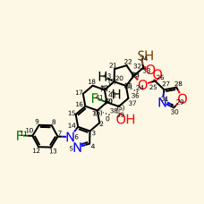 C[C@]12Cc3cnn(-c4ccc(F)cc4)c3C=C1CC[C@H]1[C@@H]3CC[C@](OC(=O)c4cocn4)(C(=O)S)[C@@]3(C)C[C@H](O)[C@@]12F